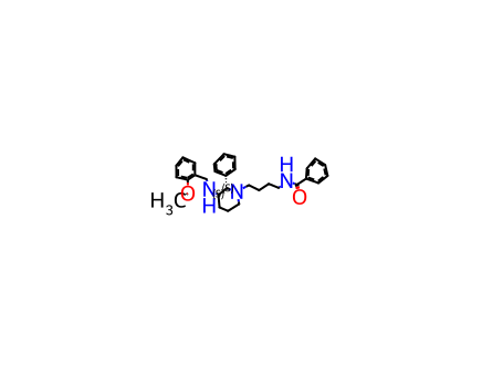 COc1ccccc1CN[C@H]1CCCN(CCCCNC(=O)c2ccccc2)[C@H]1c1ccccc1